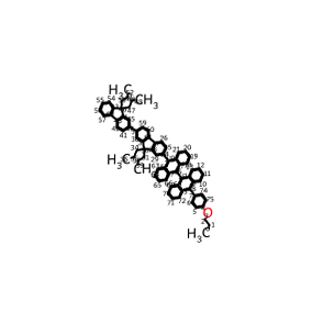 CCCOc1ccc(-c2c3ccccc3c(-c3c4ccccc4c(-c4ccc5c(c4)C(CCC)(CCC)c4cc(-c6ccc7c(c6)C(CCC)(CCC)c6ccccc6-7)ccc4-5)c4ccccc34)c3ccccc23)cc1